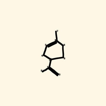 C=C(C)[C]1CC=C(C)CC1